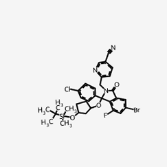 CC(C)(C)[Si](C)(C)OC1CCC(OC2(c3ccc(Cl)cc3)c3c(F)cc(Br)cc3C(=O)N2Cc2ccc(C#N)cn2)C1